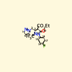 CCOC(=O)c1c(Cn2cccn2)n(C)n(-c2ccc(F)cc2)c1=O